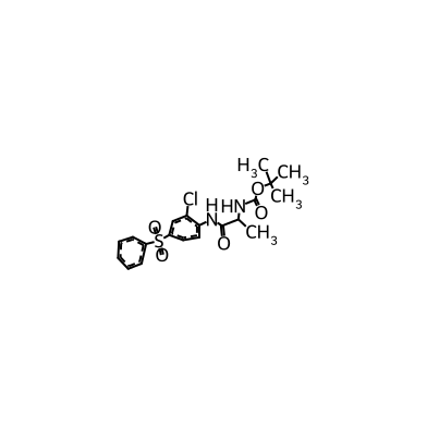 CC(NC(=O)OC(C)(C)C)C(=O)Nc1ccc(S(=O)(=O)c2ccccc2)cc1Cl